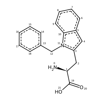 N[C@@H](Cc1cc2ccccc2n1Cc1ccccc1)C(=O)O